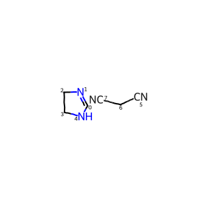 C1=NCCN1.N#CCC#N